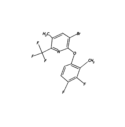 Cc1cc(Br)c(Oc2ccc(F)c(F)c2C)nc1C(F)(F)F